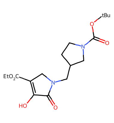 CCOC(=O)C1=C(O)C(=O)N(CC2CCN(C(=O)OC(C)(C)C)C2)C1